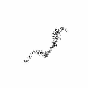 CCCCCCCC/C=C\CCCCCCCCOCC(CN1CCC(CCC)C1)OCCOCCNC(=O)O[C@H]1CC[C@@]2(C)C(=CCC3C2CC[C@@]2(C)C3CC[C@@H]2[C@H](C)CCCC(C)C)C1